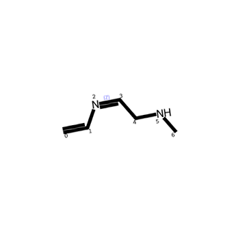 C=C/N=C\CNC